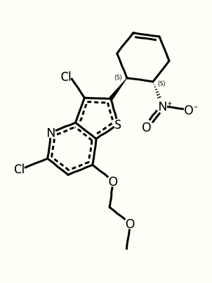 COCOc1cc(Cl)nc2c(Cl)c([C@H]3CC=CC[C@@H]3[N+](=O)[O-])sc12